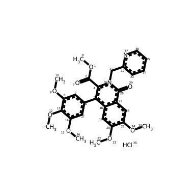 COC(=O)c1c(-c2cc(OC)c(OC)c(OC)c2)c2cc(OC)c(OC)cc2c(=O)n1Cc1ccccn1.Cl